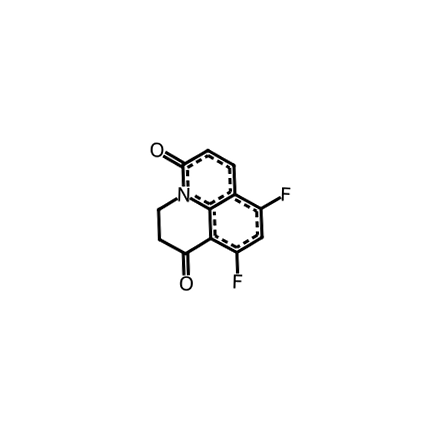 O=C1CCn2c(=O)ccc3c(F)cc(F)c1c32